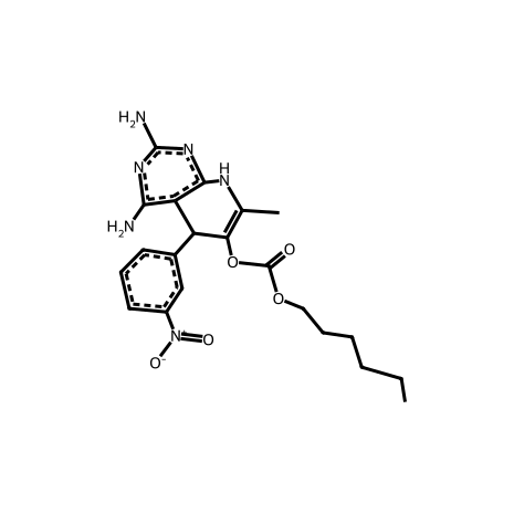 CCCCCCOC(=O)OC1=C(C)Nc2nc(N)nc(N)c2C1c1cccc([N+](=O)[O-])c1